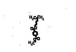 CCOC(=O)C1CCC(C(=O)OCCCCC(C)C)CC1